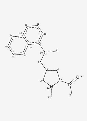 CC(=O)C1CC(C[C@@H](C)c2cccc3ccccc23)CN1C